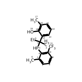 CCC(C)(Pc1c(C)cccc1C(F)(F)F)c1cccc(C)c1O